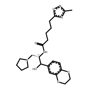 Cc1noc(CCCCC(=O)N[C@@H](CN2CCCC2)C(O)c2ccc3c(c2)OCCO3)n1